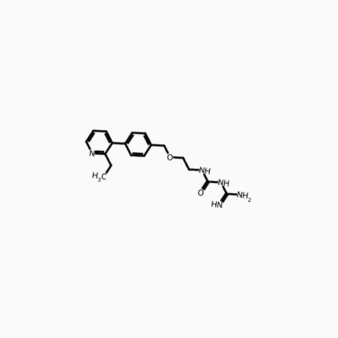 CCc1ncccc1-c1ccc(COCCNC(=O)NC(=N)N)cc1